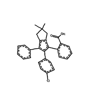 CC1(C)Cc2c(-c3ccccc3)c(-c3ccc(Cl)cc3)c(-c3ccccc3C(=O)O)n2C1